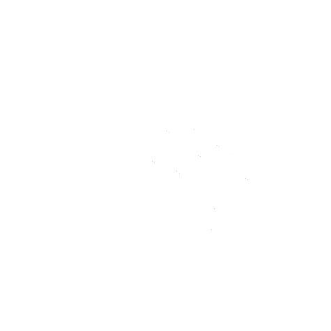 CC(Cn1c(=O)n(-c2ccc(Oc3ccccc3)cc2)c2c(N)ncnc21)NC(=O)C(C#N)=CC(C)(C)N1CC2(COC2)C1